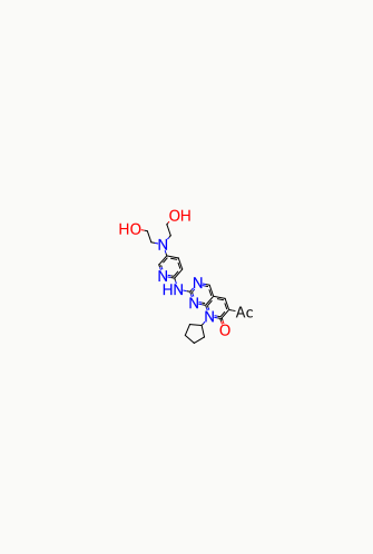 CC(=O)c1cc2cnc(Nc3ccc(N(CCO)CCO)cn3)nc2n(C2CCCC2)c1=O